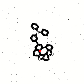 c1ccc(N(c2ccccc2)c2cccc(-c3cccc(-c4cccc5oc6ccc7oc8ccccc8c7c6c45)c3)c2)cc1